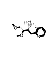 COC[C@@H](OC)[C@H](N)Cc1ccccn1.Cl